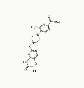 CC[C@H]1Oc2cnc(CN3CCN(c4cnc(C(=O)NC)nc4C)CC3)cc2NC1=O